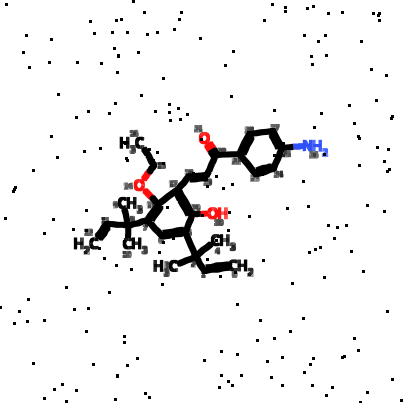 C=CC(C)(C)c1cc(C(C)(C)C=C)c(OCC)c(C=CC(=O)c2ccc(N)cc2)c1O